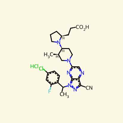 CC(c1ccc(Cl)cc1F)n1nc(C#N)c2ncc(N3CC[C@H](N4CCC[C@H]4CCC(=O)O)[C@H](C)C3)nc21.Cl